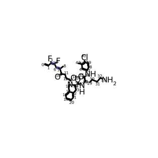 C=C/C(F)=C(F)\C=C(/C)C(=O)CCC(=O)N1Cc2ccccc2C[C@H]1C(=O)N[C@@H](CCCCN)C(=O)Nc1ccc(Cl)c(C)c1